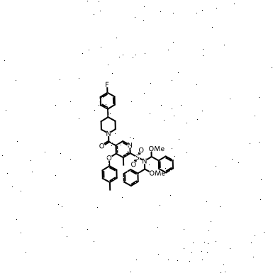 COC(c1ccccc1)N(C(OC)c1ccccc1)S(=O)(=O)c1ncc(C(=O)N2CCC(c3ccc(F)cc3)CC2)c(Oc2ccc(C)cc2)c1C